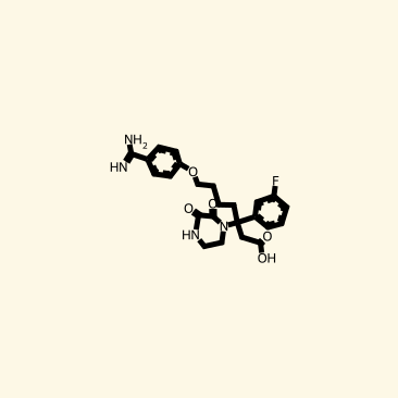 N=C(N)c1ccc(OCCCCC(CC(=O)O)(c2cccc(F)c2)N2CCNC(=O)C2=O)cc1